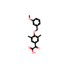 COc1cccc(COc2c(C)cc(C(=O)C(=O)O)cc2C)c1